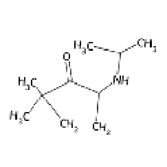 CC(C)NC(C)C(=O)C(C)(C)C